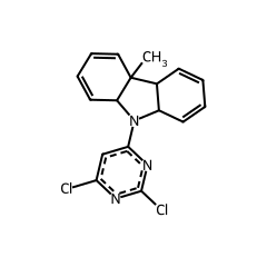 CC12C=CC=CC1N(c1cc(Cl)nc(Cl)n1)C1C=CC=CC12